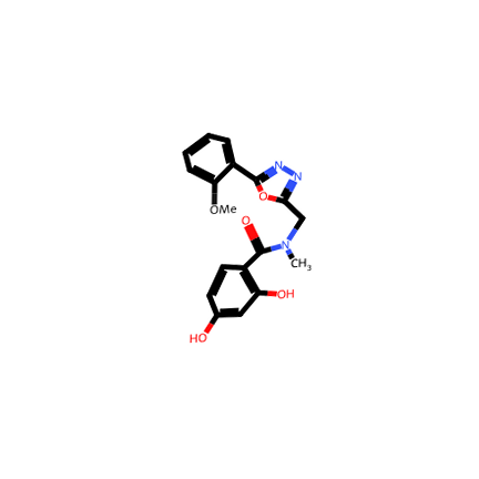 COc1ccccc1-c1nnc(CN(C)C(=O)c2ccc(O)cc2O)o1